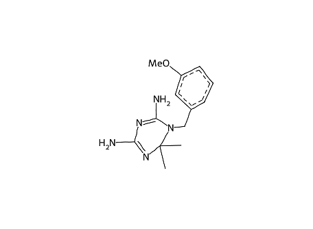 COc1cccc(CN2C(N)=NC(N)=NC2(C)C)c1